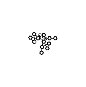 C1=CC2=C(CC1)C1(c3ccccc32)c2ccccc2-c2c1ccc1c2Oc2cccc(N(c3ccc(-c4ccccc4)cc3)c3ccc4c(c3)C(c3ccccc3)(c3ccccc3)c3cc(-c5ccccc5)ccc3-4)c2O1